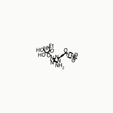 CCNC(=O)[C@@H](OCn1cnc2c(N)nc(C#CC(=O)N3CCN(S(C)(=O)=O)CC3)nc21)C(O)CO